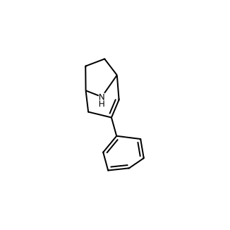 C1=C(c2ccccc2)CC2CCC1N2